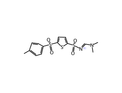 Cc1ccc(S(=O)(=O)c2ccc(S(=O)(=O)/N=C/N(C)C)s2)cc1